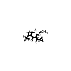 CCOC=C(C(=O)c1c(C(F)(F)F)csc1C)C(=O)C1CC1